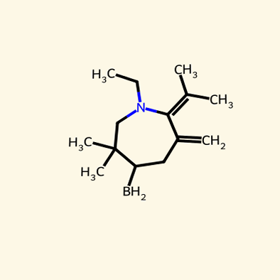 BC1CC(=C)C(=C(C)C)N(CC)CC1(C)C